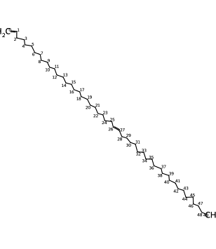 C=CCCCCCCCCCCCCCCCCCCCCCCCCC=CCCCCCCCCCCCCCCCCCCCCCC